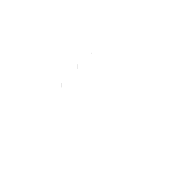 C[C@@H](C=O)C(F)(F)[Si](C)(C)C